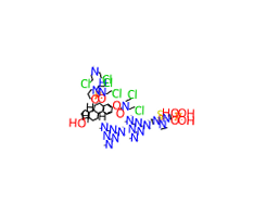 CN(C)c1nc(N(C)C)nc(N(C)C)n1.CN(C)c1nc(N(C)C)nc(N(C)C)n1.CN(CCCl)CCCl.C[C@]12CC[C@@H]3c4ccc(OC(=O)N(CCCl)CCCl)cc4CC[C@H]3[C@@H]1CC[C@@H]2O.O=P(O)(O)O.O=P1(NCCCl)OCCCN1CCCl.S=P(N1CC1)(N1CC1)N1CC1